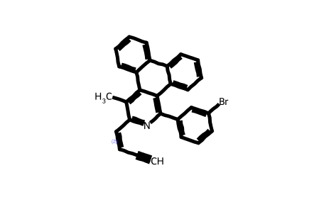 C#C/C=C\c1nc(-c2cccc(Br)c2)c2c3ccccc3c3ccccc3c2c1C